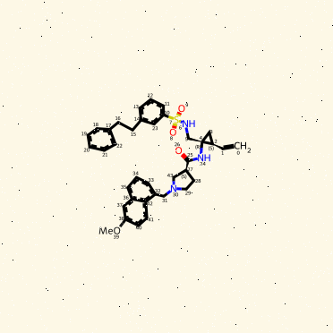 C=C[C@@H]1C[C@@]1(CNS(=O)(=O)c1cccc(CCc2ccccc2)c1)NC(=O)[C@H]1CCN(Cc2cccc3cc(OC)ccc23)C1